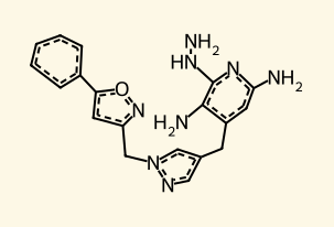 NNc1nc(N)cc(Cc2cnn(Cc3cc(-c4ccccc4)on3)c2)c1N